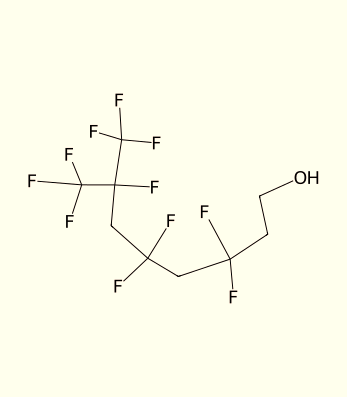 OCCC(F)(F)CC(F)(F)CC(F)(C(F)(F)F)C(F)(F)F